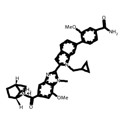 COc1cc(C(N)=O)ccc1-c1ccc2cc(-c3nc4cc(C(=O)N5C[C@H]6CC[C@@H]5[C@@H]6N)cc(OC)c4n3C)n(CC3CC3)c2c1